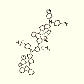 Cc1ccc(N(c2ccc(C)c(-c3ccc4c5c(c6ccccc6c4c3)-c3ccc4cc(N(c6ccc(C(C)C)cc6)c6ccc(C(C)C)cc6)ccc4c3C53c4ccccc4-c4ccccc43)c2)c2ccc3c4c(ccc3c2)-c2c(c3ccccc3c3ccccc23)C42c3ccccc3-c3ccccc32)cc1